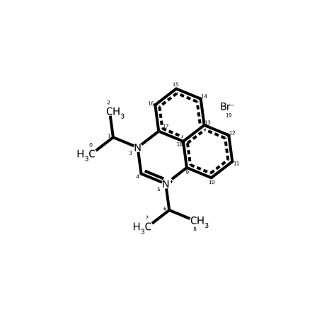 CC(C)N1C=[N+](C(C)C)c2cccc3cccc1c23.[Br-]